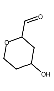 O=CC1CC(O)CCO1